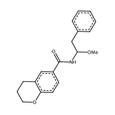 COC(Cc1ccccc1)NC(=O)c1ccc2c(c1)CCCO2